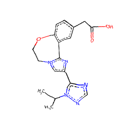 CC(C)n1ncnc1-c1cn2c(n1)-c1cc(CC(=O)O)ccc1OCC2